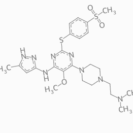 COc1c(Nc2cc(C)[nH]n2)nc(Sc2ccc(S(C)(=O)=O)cc2)nc1N1CCN(CCN(C)C)CC1